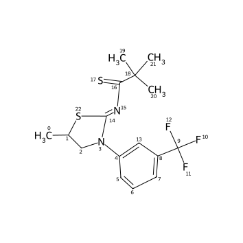 CC1CN(c2cccc(C(F)(F)F)c2)C(=NC(=S)C(C)(C)C)S1